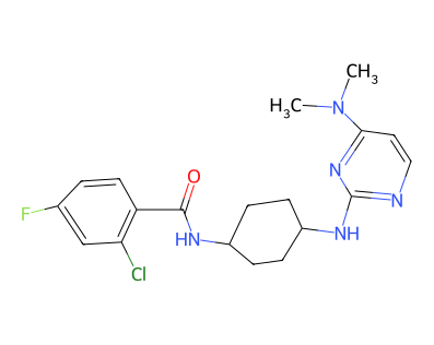 CN(C)c1ccnc(NC2CCC(NC(=O)c3ccc(F)cc3Cl)CC2)n1